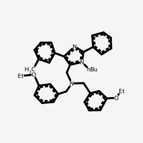 CCCCn1c(-c2ccccc2)nc(-c2cccc(C)c2)c1CN(Cc1cccc(OCC)c1)Cc1cccc(OCC)c1